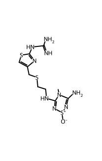 CN1C(N)=N[S+]([O-])N=C1NCCSCc1csc(NC(=N)N)n1